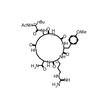 CCCC[C@H](NC(C)=O)C(=O)NC1CCC(=O)NCCC(C(N)=O)NC(=O)[C@H](CCCNC(=N)N)NC(=O)C(Cc2ccc(OC)cc2)NC(=O)CNC1=O